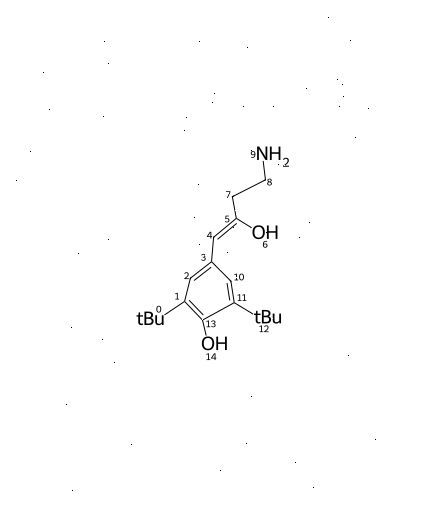 CC(C)(C)c1cc(C=C(O)CCN)cc(C(C)(C)C)c1O